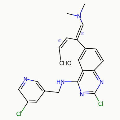 CN(C)/C=C(\C=C/C=O)c1ccc2nc(Cl)nc(NCc3cncc(Cl)c3)c2c1